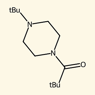 CC(C)(C)C(=O)N1CCN(C(C)(C)C)CC1